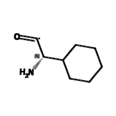 N[C@H]([C]=O)C1CCCCC1